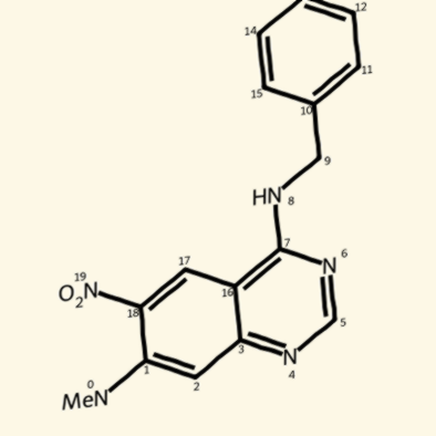 CNc1cc2ncnc(NCc3ccccc3)c2cc1[N+](=O)[O-]